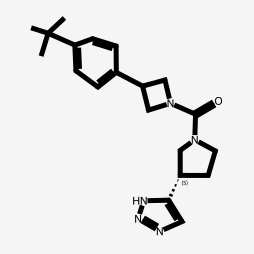 CC(C)(C)c1ccc(C2CN(C(=O)N3CC[C@H](c4cnn[nH]4)C3)C2)cc1